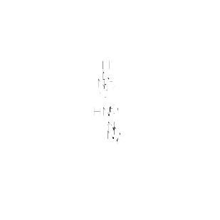 Cc1cc(OC2CC(C(=O)NC3CCN(c4ncc(F)cn4)CC3)C2)c2nc[nH]c2c1